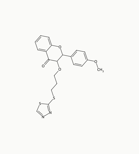 COc1ccc(C2Oc3ccccc3C(=O)C2OCCCSc2nncs2)cc1